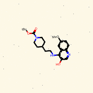 COc1ccc2ncc(O)c(NCCC3CCN(C(=O)OC(C)(C)C)CC3)c2c1